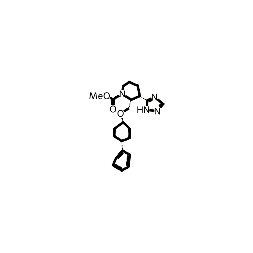 COC(=O)N1CCC[C@H](c2ncn[nH]2)[C@@H]1CO[C@H]1CC[C@@H](c2ccccc2)CC1